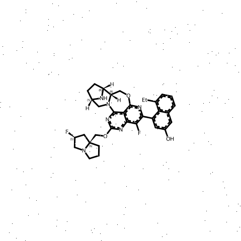 CCc1cccc2cc(O)cc(-c3nc4c5c(nc(OC[C@@]67CCCN6C[C@@H](F)C7)nc5c3F)N3C[C@@H]5CC[C@@H](N5)[C@@H]3CO4)c12